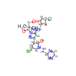 CC(C)(CO)C(=O)n1nc(-c2cc(Br)cn(CCc3cnccn3)c2=O)cc1NCc1ccc(Cl)s1